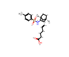 Cc1ccc(S(=O)(=O)N[C@H]2[C@H]3CC[C@H](C3)[C@@H]2C=CCCCC(=O)O)cc1